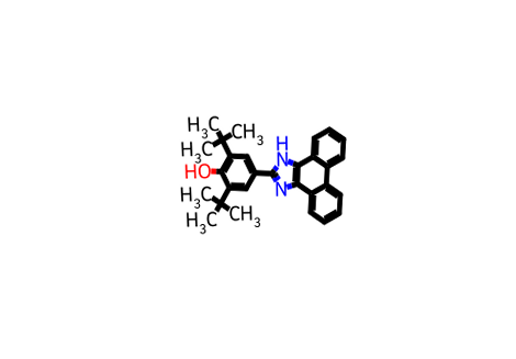 CC(C)(C)c1cc(-c2nc3c4ccccc4c4ccccc4c3[nH]2)cc(C(C)(C)C)c1O